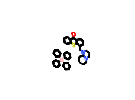 O=c1c2ccccc2sc2c(C[N+]3=C4CCCCCN4CCC3)cccc12.c1ccc([B-](c2ccccc2)(c2ccccc2)c2ccccc2)cc1